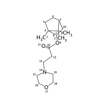 CC1(C)C2CCC1(C)C(OC(=O)CCN1CCOCC1)C2